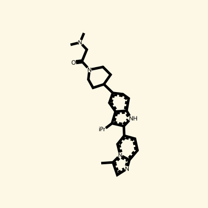 Cc1cnc2ccc(-c3[nH]c4ccc(C5CCN(C(=O)CN(C)C)CC5)cc4c3C(C)C)cn12